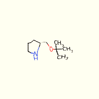 CC(C)(C)OC[C@H]1CCCN1